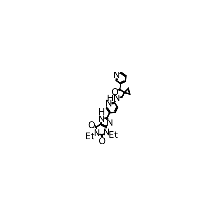 CCn1c(=O)c2[nH]c(-c3ccc(NCC4(C(=O)c5cccnc5)CC4)nc3)nc2n(CC)c1=O